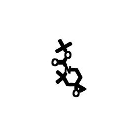 CC(C)(C)OC(=O)N1CCC2(CO2)CC1(C)C